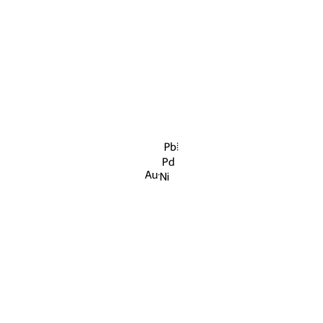 [Au].[Ni].[Pb].[Pd]